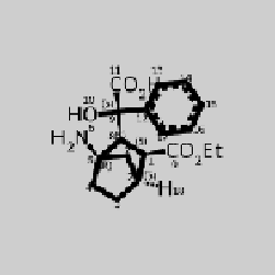 CCOC(=O)[C@H]1[C@H]2CC[C@@](N)(C2)[C@H]1[C@@](O)(C(=O)O)c1ccccc1